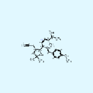 C#CC[C@@H]1OC(C)(C)O[C@@H]1[C@@H](/C=C\[C@@H](C)[C@H](C)O)OCc1ccc(OC)cc1